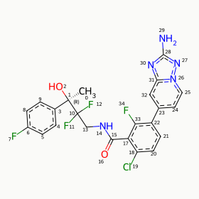 C[C@@](O)(c1ccc(F)cc1)C(F)(F)CNC(=O)c1c(Cl)ccc(-c2ccn3nc(N)nc3c2)c1F